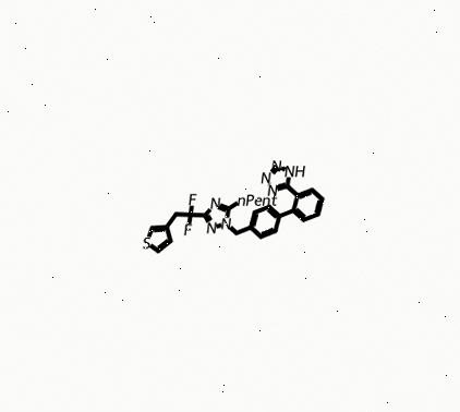 CCCCCc1nc(C(F)(F)Cc2ccsc2)nn1Cc1ccc(-c2ccccc2-c2nnn[nH]2)cc1